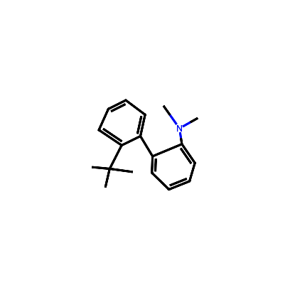 CN(C)c1ccccc1-c1ccccc1C(C)(C)C